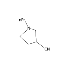 CCCN1CCC(C#N)C1